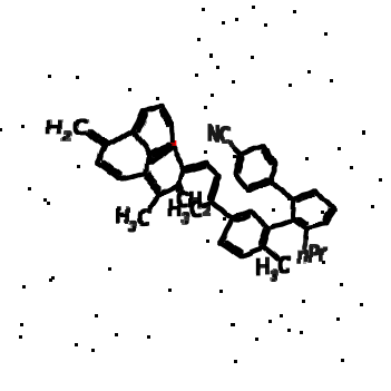 C=C(/C=C\c1cc/c(=C/C=C(\C)c2ccc(C)c(-c3c(CCC)cccc3-c3ccc(C#N)cc3)c2)c(=C)c1C)c1ccccc1